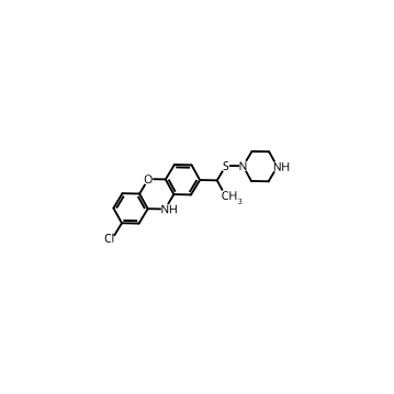 CC(SN1CCNCC1)c1ccc2c(c1)Nc1cc(Cl)ccc1O2